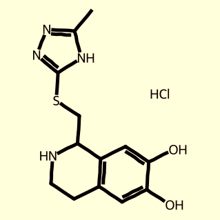 Cc1nnc(SCC2NCCc3cc(O)c(O)cc32)[nH]1.Cl